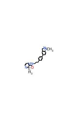 Cc1ncccc1C(=O)NCCCc1ccc(-c2ccc3c(cnn3C)c2)cc1